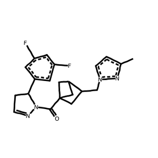 Cc1ccn(CC2CC3(C(=O)N4N=CCC4c4cc(F)cc(F)c4)CC2C3)n1